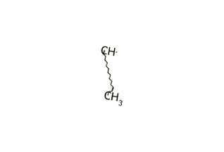 [CH]=CCCCCCCCCCC/C=C\CC